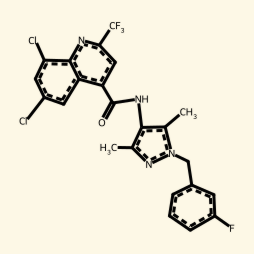 Cc1nn(Cc2cccc(F)c2)c(C)c1NC(=O)c1cc(C(F)(F)F)nc2c(Cl)cc(Cl)cc12